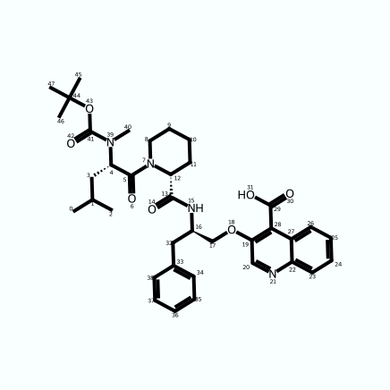 CC(C)C[C@@H](C(=O)N1CCCC[C@@H]1C(=O)N[C@@H](COc1cnc2ccccc2c1C(=O)O)Cc1ccccc1)N(C)C(=O)OC(C)(C)C